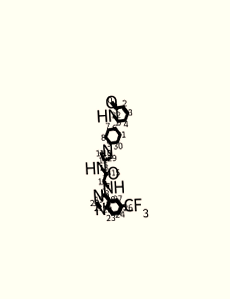 O=C1C=CCC([C@H]2CC[C@H](N3CC(NC(=O)CNc4ncnc5ccc(C(F)(F)F)cc45)C3)CC2)N1